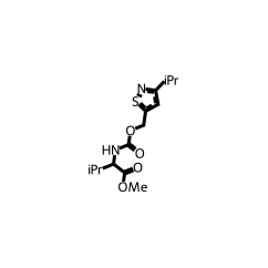 COC(=O)C(NC(=O)OCc1cc(C(C)C)ns1)C(C)C